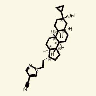 C[C@]12CC[C@H]3[C@@H](CC[C@@H]4C[C@@](O)(C5CC5)CC[C@@H]43)[C@@H]1CC[C@@H]2CCn1cc(C#N)cn1